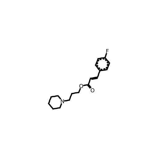 O=C(C=Cc1ccc(F)cc1)OCCCN1CCCCC1